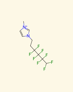 C[n+]1ccn(CCC(F)(F)C(F)(F)C(F)(F)C(F)F)c1